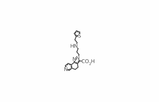 O=C(O)c1c2c(nn1CCCNCCc1cccs1)-c1ccncc1CC2